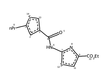 CCCc1cc(C(=O)Nc2nc(C(=O)OCC)cs2)cs1